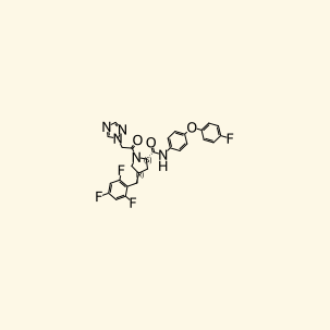 O=C(Nc1ccc(Oc2ccc(F)cc2)cc1)[C@@H]1C[C@@H](Cc2c(F)cc(F)cc2F)CN1C(=O)Cn1cncn1